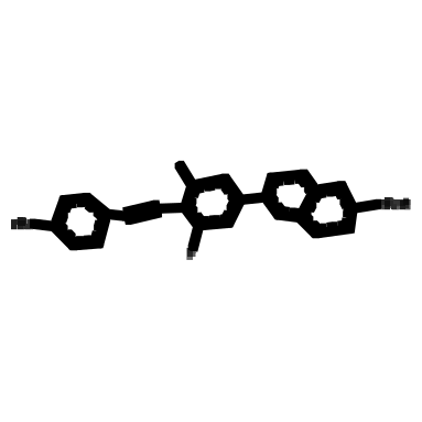 CCCCCc1ccc2cc(-c3cc(C)c(C#Cc4ccc(CCCC)cc4)c(F)c3)ccc2c1